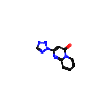 O=c1cc(-n2ncnn2)nc2ccccn12